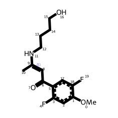 COc1cc(F)c(C(=O)/C=C(\C)NCCCCO)cc1F